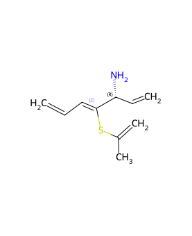 C=C/C=C(\SC(=C)C)[C@H](N)C=C